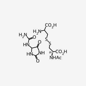 CC(=O)N[C@@H](CSSCC(N)C(=O)O)C(=O)O.NC(=O)NC1NC(=O)NC1=O